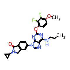 CCCNc1nc(Oc2ccc(OC)c(F)c2F)nc2c1ncn2-c1ccc2c(c1)CN(C1CC1)C2=O